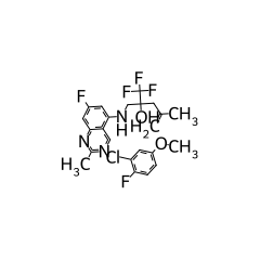 C=C(C)CC(O)(CNc1cc(F)cc2nc(C)ncc12)C(F)(F)F.COc1ccc(F)c(Cl)c1